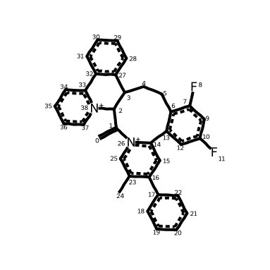 C=C1C2C(CCc3c(F)cc(F)cc3-c3cc(-c4ccccc4)c(C)c[n+]31)c1ccccc1-c1cccc[n+]12